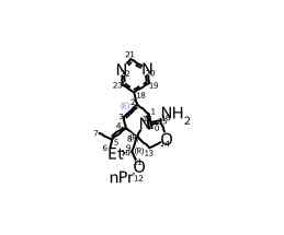 C=C/C(=C\C(=C(C)C)[C@]1([C@@H](CC)OCCC)COC(N)=N1)c1cncnc1